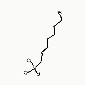 Cl[Si](Cl)(Cl)CCCCCCCBr